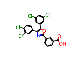 O=C(O)c1cccc(-c2nc(-c3ccc(Cl)c(Cl)c3)c(-c3cc(Cl)cc(Cl)c3)o2)c1